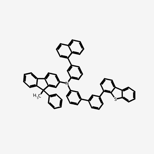 CC1(c2ccccc2)c2ccccc2-c2ccc(N(c3cccc(-c4cccc(-c5cccc6c5sc5ccccc56)c4)c3)c3cccc(-c4cccc5ccccc45)c3)cc21